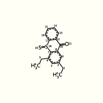 CCc1cc(CC)c2c(c1)C(=O)c1ccccc1S2=S